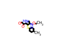 CCONc1c[nH]c(C(=O)C=O)c1Sc1ccc(C)cc1